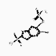 CS(=O)(=O)c1cc2cc(F)c(OS(=O)(=O)C(F)(F)F)cc2[nH]1